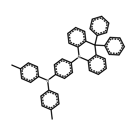 Cc1ccc(N(c2ccc(C)cc2)c2ccc(N3c4ccccc4C(c4ccccc4)(c4ccccc4)c4ccccc43)cc2)cc1